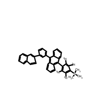 [2H]c1c([2H])c([Si](C)(C)C)c([2H])c([2H])c1-c1c2ccccc2c(-c2cccc(-c3ccc4ccccc4c3)c2)c2ccccc12